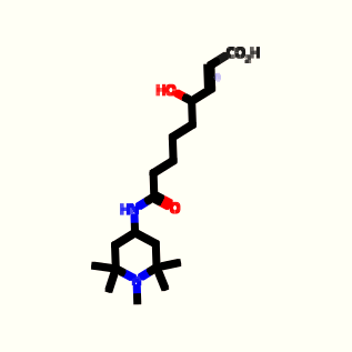 CN1C(C)(C)CC(NC(=O)CCCCC(O)/C=C/C(=O)O)CC1(C)C